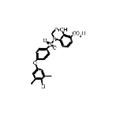 Cc1cc(Oc2ccc(S(=O)(=O)N(CC(C)C)c3cccc(C(=O)O)c3O)cc2)cc(C)c1Cl